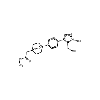 COC(=O)CC12CCC(c3ccc(-c4cnn(C)c4CO)cc3)(CC1)CO2